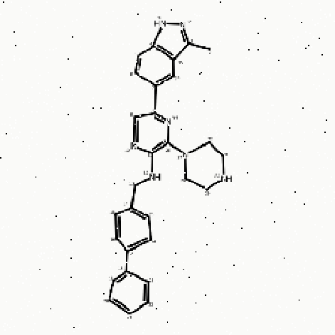 Cc1n[nH]c2ccc(-c3cnc(NCc4ccc(-c5ccccc5)cc4)c(N4CCNCC4)n3)cc12